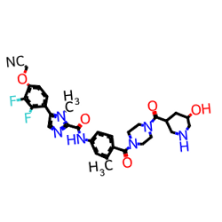 Cc1cc(NC(=O)c2ncc(-c3ccc(OCC#N)c(F)c3F)n2C)ccc1C(=O)N1CCN(C(=O)C2CNCC(O)C2)CC1